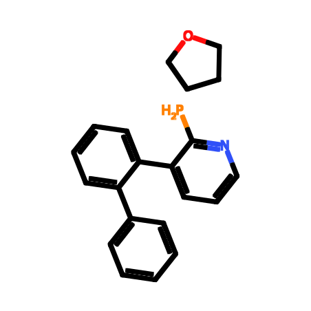 C1CCOC1.Pc1ncccc1-c1ccccc1-c1ccccc1